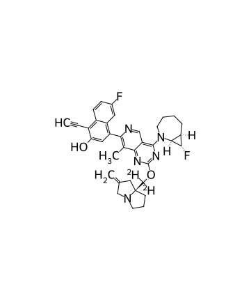 [2H]C([2H])(Oc1nc(N2CCCC[C@H]3[C@H](F)[C@H]32)c2cnc(-c3cc(O)c(C#C)c4ccc(F)cc34)c(C)c2n1)[C@@]12CCCN1CC(=C)C2